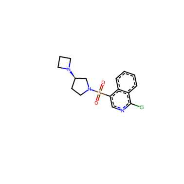 O=S(=O)(c1cnc(Cl)c2ccccc12)N1CC[C@@H](N2CCC2)C1